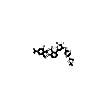 C=C(C)c1cc(F)c2c(=O)n(-c3cccc(-c4cc(Nc5cnc([C@H]6COC(C)(C)O6)cn5)c(=O)n(C)n4)c3CO)ncc2c1